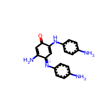 NC1=CC(=O)C(Nc2ccc(N)cc2)=C/C1=N\c1ccc(N)cc1